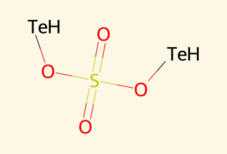 O=S(=O)(O[TeH])O[TeH]